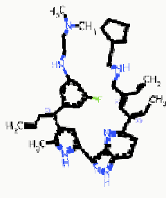 C=C/C=C(/c1cc(F)cc(NCCN(C)C)c1)c1cc(-c2n[nH]c3ccc(C(/C=C(\C=C)CNCC4CCCC4)=C/C)nc23)[nH]c1C